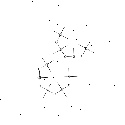 C[Si](C)(C)O[Si](C)(C)O[Si](C)(C)O[Si](C)(C)C.C[Si](C)(C)O[Si](C)(C)O[Si](C)(C)O[Si](C)(C)O[Si](C)(C)C